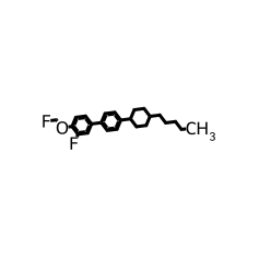 CCCCCC1CCC(c2ccc(-c3ccc(OCF)c(F)c3)cc2)CC1